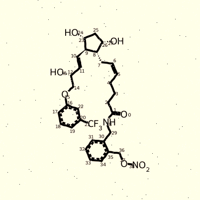 O=C(CCC/C=C\C[C@@H]1[C@@H](/C=C/[C@@H](O)COc2cccc(C(F)(F)F)c2)[C@H](O)C[C@@H]1O)NCc1ccccc1CO[N+](=O)[O-]